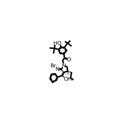 CCC[C@@H]1CN(CC(=O)c2cc(C(C)(C)C)c(O)c(C(C)(C)C)c2)/C(=N\Br)[C@@H]1[C@@H](O)c1ccccc1